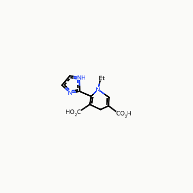 CCN1C=C(C(=O)O)CC(C(=O)O)=C1c1ncc[nH]1